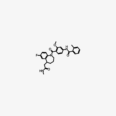 CNC(=O)CC1CCCN(C(=O)c2ccc(NC(=O)c3ccccc3C)cc2OC)c2ccc(F)cc21